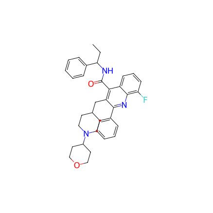 CCC(NC(=O)c1c(CC2CCN(C3CCOCC3)CC2)c(-c2ccccc2)nc2c(F)cccc12)c1ccccc1